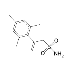 C=C(CS(N)(=O)=O)c1c(C)cc(C)cc1C